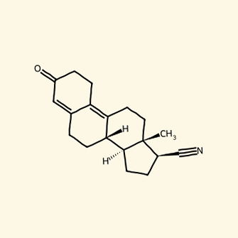 C[C@]12CCC3=C4CCC(=O)C=C4CC[C@H]3[C@@H]1CC[C@@H]2C#N